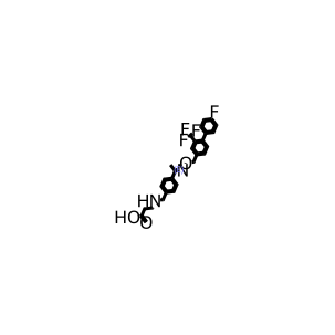 C/C(=N\OCc1ccc(-c2ccc(F)cc2)c(C(F)(F)F)c1)c1ccc(CNCCC(=O)O)cc1